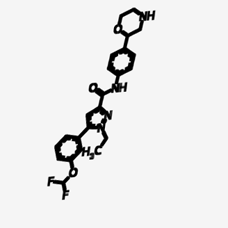 CCn1nc(C(=O)Nc2ccc(C3CNCCO3)cc2)cc1-c1cccc(OC(F)F)c1